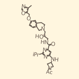 CC(=O)N1CC(Nc2cc(C(=O)NC[C@H](O)CN3CCc4cc(OCc5ocnc5C)ccc4C3)nc(C(C)C)n2)C1